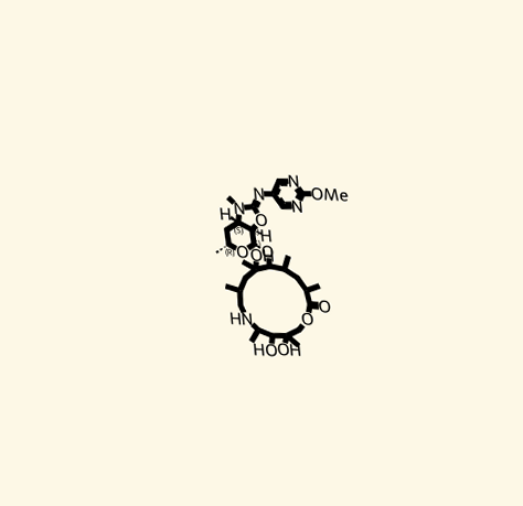 COc1ncc(N=C2O[C@H]3[C@H](OC4C(C)CC(C)C(=O)OCC(C)(O)C(O)C(C)NCC(C)CC4(C)O)O[C@H](C)C[C@@H]3N2C)cn1